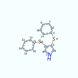 c1ccc(Sc2c[nH]cc2Sc2ccccc2)cc1